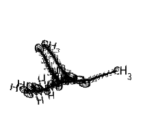 CCCCCCCCCCCCCCCC(=O)OC[C@H](CSC[C@H](NC(=O)CCCCCCCCCCCCC)C(=O)NCC(=O)NCC(=O)NCC(=O)NC(CCC(=O)O)C(=O)O)OC(=O)CCCCCCCCCCCCCCC